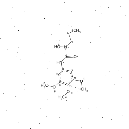 CCCN(O)C(=O)Nc1cc(OC)c(OC)c(OC)c1